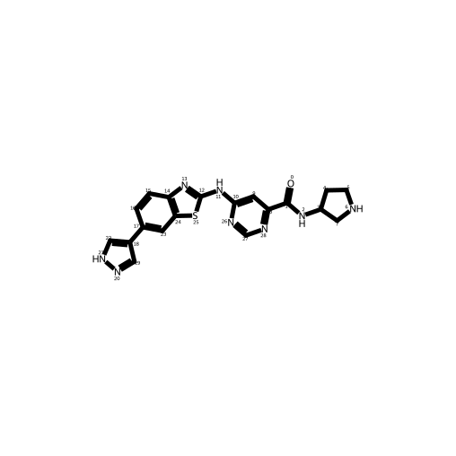 O=C(NC1CCNC1)c1cc(Nc2nc3ccc(-c4cn[nH]c4)cc3s2)ncn1